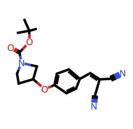 CC(C)(C)OC(=O)N1CCC(Oc2ccc(C=C(C#N)C#N)cc2)C1